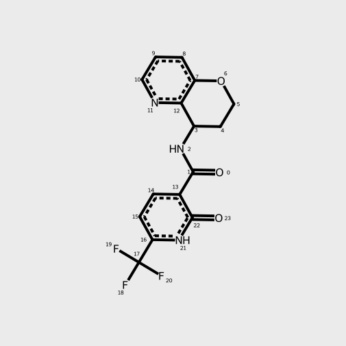 O=C(NC1CCOc2cccnc21)c1ccc(C(F)(F)F)[nH]c1=O